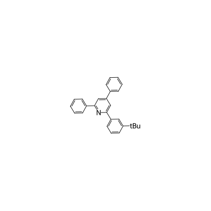 CC(C)(C)c1cccc(-c2cc(-c3ccccc3)cc(-c3ccccc3)n2)c1